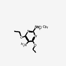 CCOc1nc(N)nc(OCC)c1N.Cl.Cl